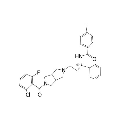 Cc1ccc(C(=O)N[C@@H](CCN2CC3CN(C(=O)c4c(F)cccc4Cl)CC3C2)c2ccccc2)cc1